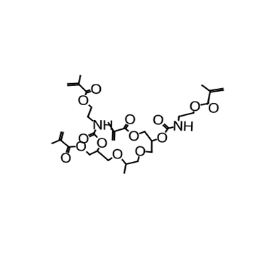 C=C(C)C(=O)OCCNC(=O)OC(COCC(C)OCC(COC(=O)C(=C)C)OC(=O)NCCOC(=O)C(=C)C)COC(=O)C(=C)C